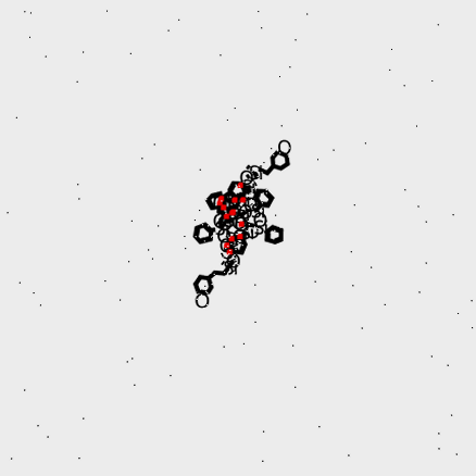 C[Si](C)(CCC1CCC2OC2C1)O[Si](C)(C)O[Si]1(C)O[Si]2(c3ccccc3)O[Si]3(c4ccccc4)O[Si]4(c5ccccc5)O[Si](C)(O[Si](C)(C)O[Si](C)(C)CCC5CCC6OC6C5)O[Si]5(c6ccccc6)O[Si](c6ccccc6)(O[Si](c6ccccc6)(O1)O[Si](c1ccccc1)(O5)O[Si](c1ccccc1)(O2)O4)O3